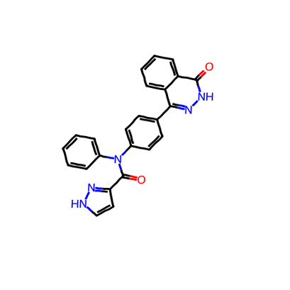 O=C(c1cc[nH]n1)N(c1ccccc1)c1ccc(-c2n[nH]c(=O)c3ccccc23)cc1